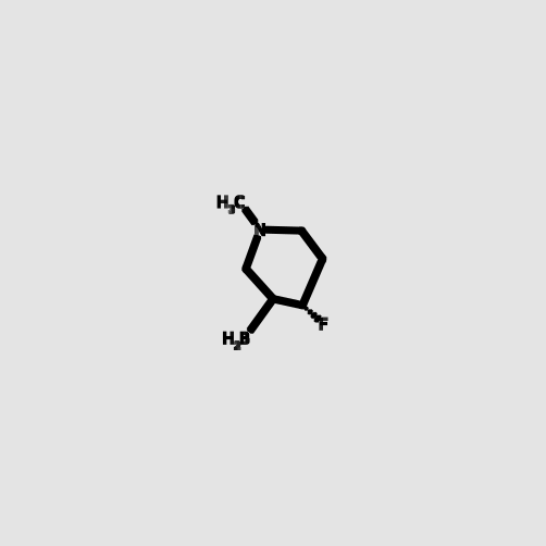 BC1CN(C)CC[C@@H]1F